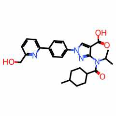 CC1CCC(C(=O)N(c2nn(-c3ccc(-c4cccc(CO)n4)cc3)cc2C(=O)O)C(C)C)CC1